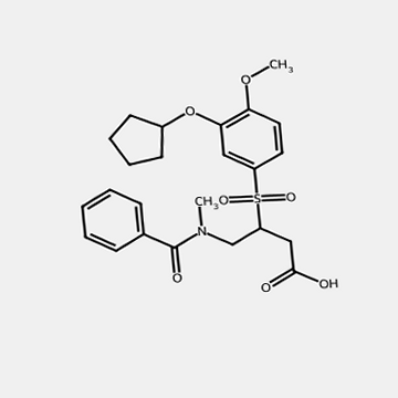 COc1ccc(S(=O)(=O)C(CC(=O)O)CN(C)C(=O)c2ccccc2)cc1OC1CCCC1